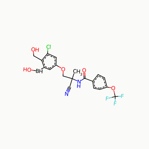 CC(C#N)(COc1cc(Cl)c(CO)c(BO)c1)NC(=O)c1ccc(OC(F)(F)F)cc1